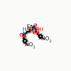 CCC1C(=O)N(C(O)C(=O)OCc2ccc([N+](=O)[O-])cc2)C1SC(=O)CCCNC(=O)OCc1ccc([N+](=O)[O-])cc1